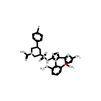 COc1cccc(OC)c1-n1c(NS(=O)(=O)C2CC(c3ccc(F)cc3)CN(C(=O)O)C2)nnc1-c1ccc(C)o1